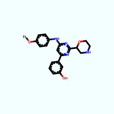 CCOc1ccc(Nc2cc(-c3cccc(O)c3)nc(C3CNCCO3)n2)cc1